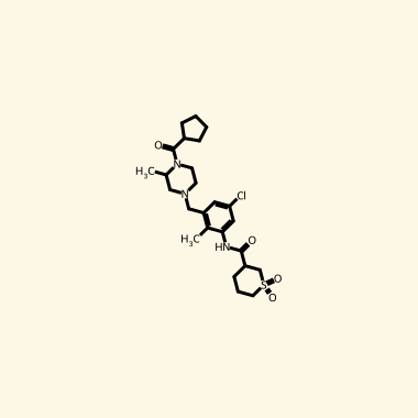 Cc1c(CN2CCN(C(=O)C3CCCC3)C(C)C2)cc(Cl)cc1NC(=O)C1CCCS(=O)(=O)C1